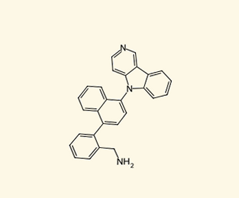 NCc1ccccc1-c1ccc(-n2c3ccccc3c3cnccc32)c2ccccc12